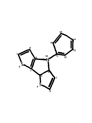 C1=CC2C(S1)c1sccc1N2c1ccccc1